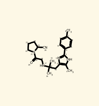 Cc1[nH]c(-c2ccc(C(F)(F)F)cc2)nc1CC(C)(C)NCC(=O)N1CCCC1C#N